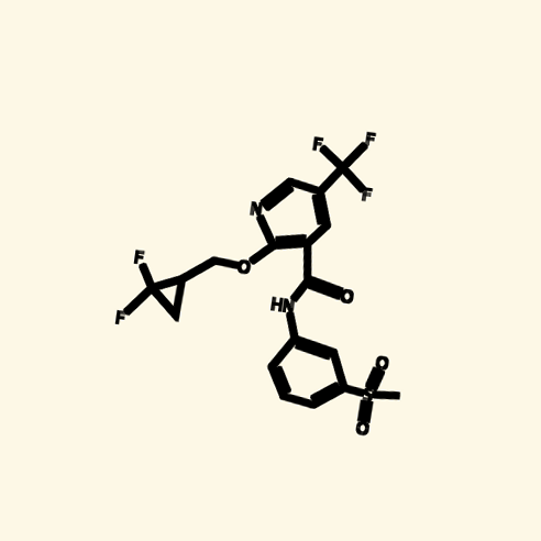 CS(=O)(=O)c1cccc(NC(=O)c2cc(C(F)(F)F)cnc2OCC2CC2(F)F)c1